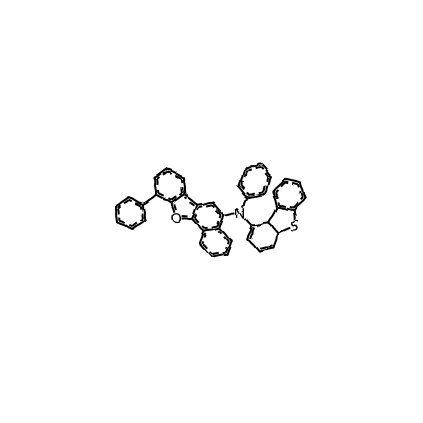 C1=CC2Sc3ccccc3C2C(N(c2ccccc2)c2cc3c4cccc(-c5ccccc5)c4oc3c3ccccc23)=C1